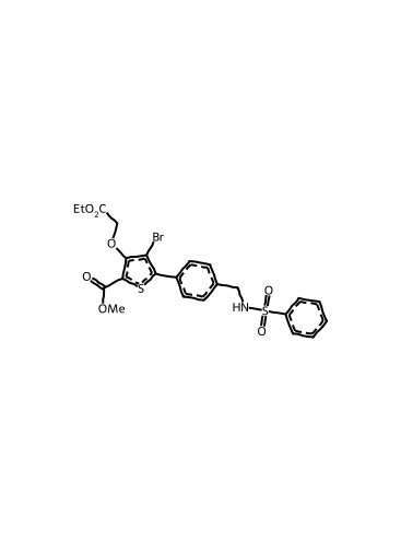 CCOC(=O)COc1c(C(=O)OC)sc(-c2ccc(CNS(=O)(=O)c3ccccc3)cc2)c1Br